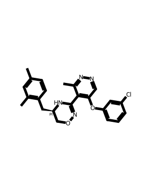 Cc1ccc(C[C@@H]2CON=C(c3c(Oc4cccc(Cl)c4)cnnc3C)N2)c(C)c1